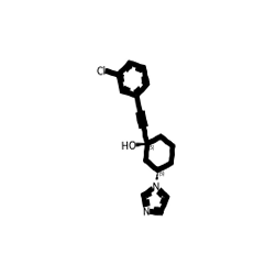 O[C@@]1(C#Cc2cccc(Cl)c2)CCC[C@H](n2ccnc2)C1